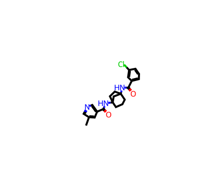 Cc1cncc(C(=O)NC23CCCC(NC(=O)c4cccc(Cl)c4)(CC2)C3)c1